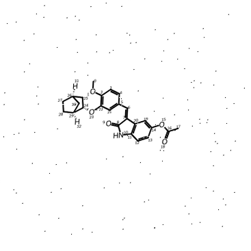 COc1ccc(/C=C2\C(=O)Nc3ccc(OC(C)=O)cc32)cc1O[C@H]1C[C@@H]2CC[C@H]1C2